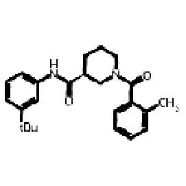 Cc1ccccc1C(=O)N1CCC[C@H](C(=O)Nc2cccc(C(C)(C)C)c2)C1